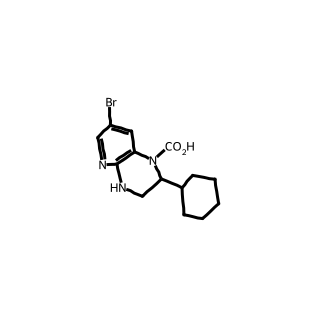 O=C(O)N1c2cc(Br)cnc2NCC1C1CCCCC1